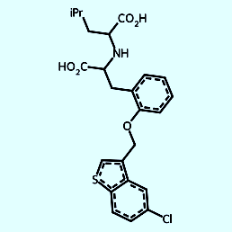 CC(C)CC(NC(Cc1ccccc1OCc1csc2ccc(Cl)cc12)C(=O)O)C(=O)O